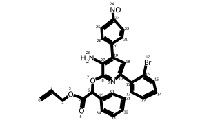 C=CCOC(=O)C(Oc1nc(-c2ccccc2Br)cc(-c2ccc(N=O)cc2)c1N)c1ccccc1